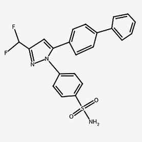 NS(=O)(=O)c1ccc(-n2nc(C(F)F)cc2-c2ccc(-c3ccccc3)cc2)cc1